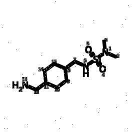 CN(C)S(=O)(=O)NCC1CCC(CN)CC1